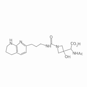 CC(=O)NC(C(=O)O)C1(O)CN(C(=O)NCCCc2ccc3c(n2)NCCC3)C1